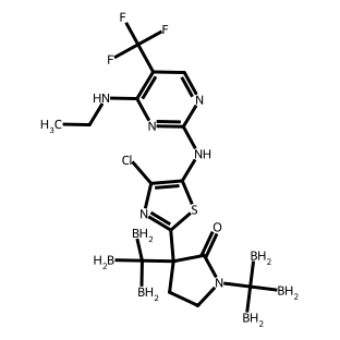 BC(B)(B)N1CCC(c2nc(Cl)c(Nc3ncc(C(F)(F)F)c(NCC)n3)s2)(C(B)(B)B)C1=O